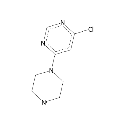 Clc1cc(N2CC[N]CC2)ncn1